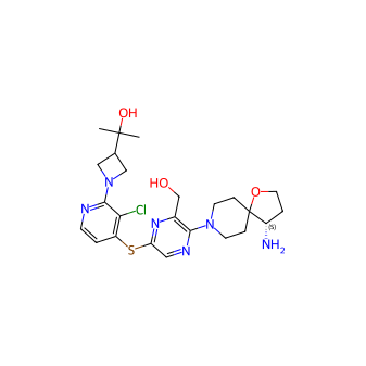 CC(C)(O)C1CN(c2nccc(Sc3cnc(N4CCC5(CC4)OCC[C@@H]5N)c(CO)n3)c2Cl)C1